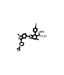 CCOC(=O)[C@@H](OC(C)(C)C)c1c(C)cc2nc(-c3ccc4c(c3)c(C3CCN(C5COC5)C3)nn4C)sc2c1-c1ccc(Cl)cc1